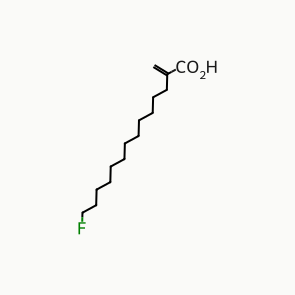 C=C(CCCCCCCCCCCCF)C(=O)O